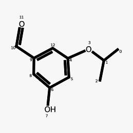 CC(C)Oc1cc(O)cc(C=O)c1